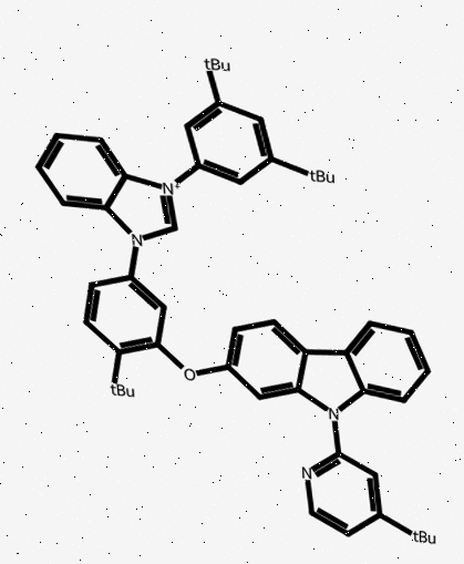 CC(C)(C)c1cc(-[n+]2cn(-c3ccc(C(C)(C)C)c(Oc4ccc5c6ccccc6n(-c6cc(C(C)(C)C)ccn6)c5c4)c3)c3ccccc32)cc(C(C)(C)C)c1